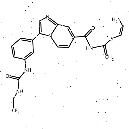 C=C(NC(=O)c1ccn2c(-c3cccc(NC(=O)NCC(F)(F)F)c3)cnc2c1)S/C=C\N